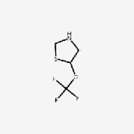 FC(F)(F)OC1[CH]NCS1